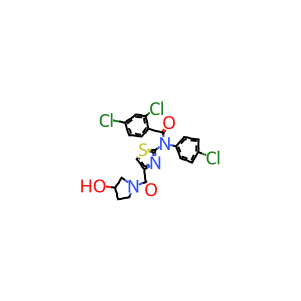 O=C(c1csc(N(C(=O)c2ccc(Cl)cc2Cl)c2ccc(Cl)cc2)n1)N1CCC(O)C1